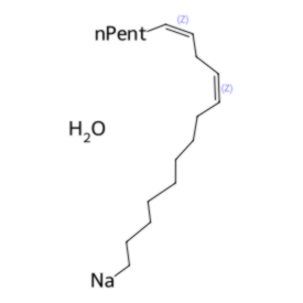 CCCCC/C=C\C/C=C\CCCCCCC[CH2][Na].O